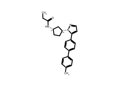 CCC(=O)N[C@H]1CC[C@@H](n2nccc2-c2ccc(-c3ccc(C)cc3)cc2)C1